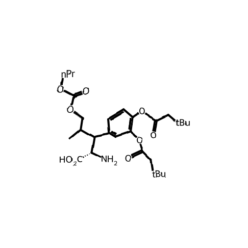 CCCOC(=O)OCC(C)C(c1ccc(OC(=O)CC(C)(C)C)c(OC(=O)CC(C)(C)C)c1)[C@H](N)C(=O)O